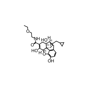 CCOCCNC(=O)C1=C(O)[C@@H]2Oc3c(O)ccc4c3[C@@]23CCN(CC2CC2)[C@H](C4)[C@]3(O)C1